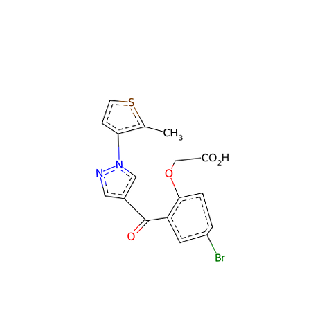 Cc1sccc1-n1cc(C(=O)c2cc(Br)ccc2OCC(=O)O)cn1